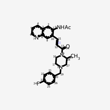 CC(=O)Nc1cc2cccnc2cc1/C=C/C(=O)N1CCN(Cc2ccc(F)cc2)CC1C